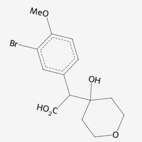 COc1ccc(C(C(=O)O)C2(O)CCOCC2)cc1Br